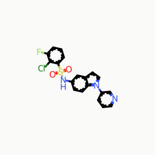 O=S(=O)(Nc1ccc2c(ccn2-c2cccnc2)c1)c1cccc(F)c1Cl